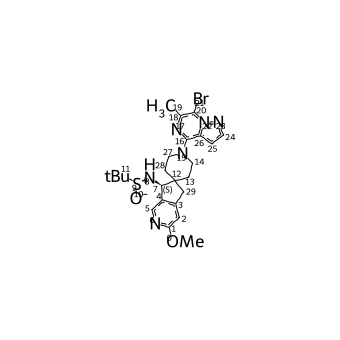 COc1cc2c(cn1)[C@@H](N[S+]([O-])C(C)(C)C)C1(CCN(c3nc(C)c(Br)n4nccc34)CC1)C2